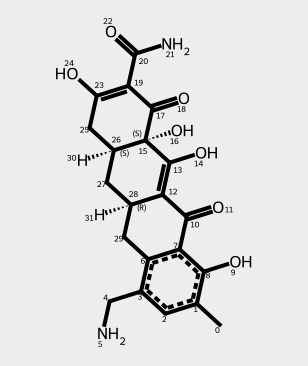 Cc1cc(CN)c2c(c1O)C(=O)C1=C(O)[C@]3(O)C(=O)C(C(N)=O)=C(O)C[C@@H]3C[C@@H]1C2